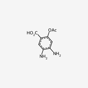 CC(=O)Oc1cc(N)c(N)cc1C(=O)O